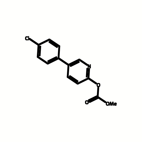 COC(=O)Oc1ccc(-c2ccc(Cl)cc2)cn1